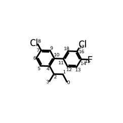 CCC(C)c1ccc(Cl)cc1-c1ccc(F)c(Cl)c1